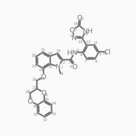 Cn1c(C(=O)Nc2ccc(Cl)cc2-c2noc(=O)[nH]2)cc2cccc(OCC3COc4ccccc4O3)c21